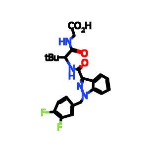 CC(C)(C)C(NC(=O)c1nn(Cc2ccc(F)c(F)c2)c2ccccc12)C(=O)NCC(=O)O